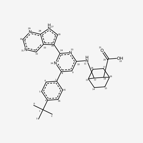 CC(C)(C)c1ccc(-c2cc(NC3C4CCC(CC4)C3C(=O)O)nc(-c3c[nH]c4ncncc34)n2)cc1